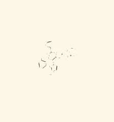 O[C@@]1(CN2CCOCC2)CC2=C(c3ccn(C(F)F)n3)[C@H](c3ccc(F)cc3Cl)N=C(c3nccs3)N2C1